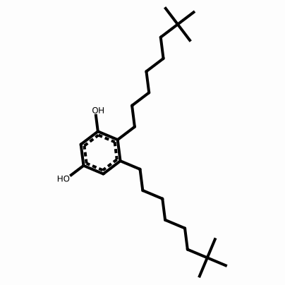 CC(C)(C)CCCCCCc1cc(O)cc(O)c1CCCCCCC(C)(C)C